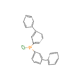 ClP(c1cccc(-c2ccccc2)c1)c1cccc(-c2ccccc2)c1